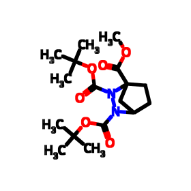 COC(=O)C12CCC(C1)N(C(=O)OC(C)(C)C)N2C(=O)OC(C)(C)C